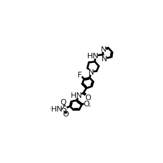 COc1ccc(S([NH])(=O)=O)cc1NC(=O)c1ccc(N2CCC(Nc3ncccn3)CC2)c(F)c1